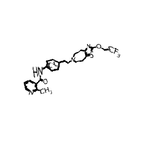 Cc1ncccc1C(=O)NC12CCC(CCN3CCc4nc(OCC(F)(F)F)sc4CC3)(CC1)CC2